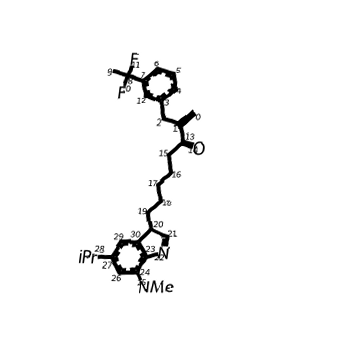 C=C(Cc1cccc(C(C)(F)F)c1)C(=O)CCCCCC1C=Nc2c(NC)cc(C(C)C)cc21